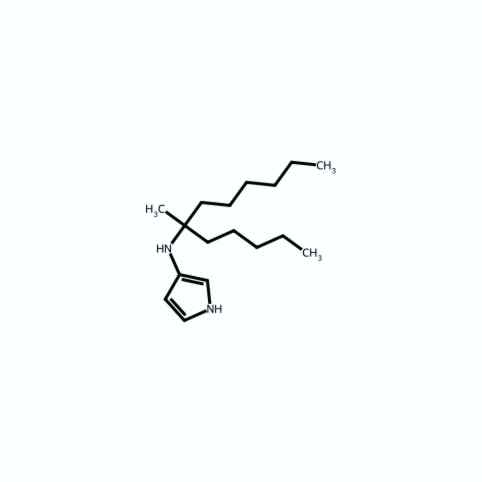 CCCCCCC(C)(CCCCC)Nc1cc[nH]c1